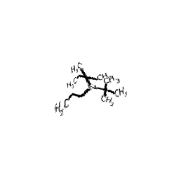 [CH2]CCN(C(C)(C)C)C(C)(C)C